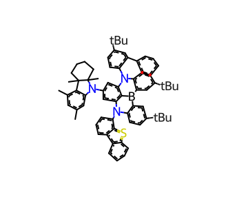 Cc1cc(C)c2c(c1)N(c1cc3c4c(c1)N(c1cccc5c1sc1ccccc15)c1ccc(C(C)(C)C)cc1B4c1cc(C(C)(C)C)ccc1N3c1ccc(C(C)(C)C)cc1-c1ccccc1)C1(C)CCCCC21C